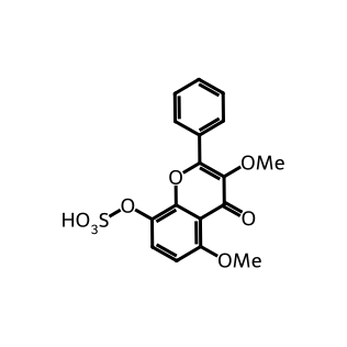 COc1c(-c2ccccc2)oc2c(OS(=O)(=O)O)ccc(OC)c2c1=O